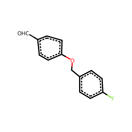 O=Cc1[c]cc(OCc2ccc(F)cc2)cc1